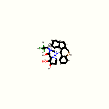 C[C@@H](N1CN([C@@H]2c3ccccc3SCc3ccc4ccccc4c32)n2ccc(=O)c(O)c2C1=O)C(F)(F)F